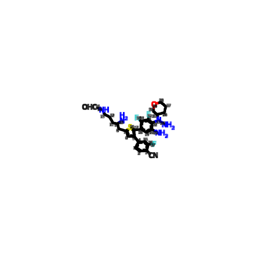 N#Cc1ccc(-c2cc(CC(N)CCCNC=O)sc2-c2cc(N)c(N(N)C3CCCOC3)c(F)c2F)cc1F